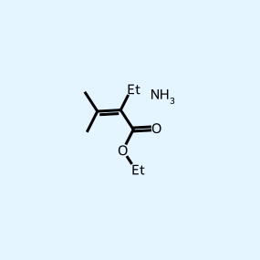 CCOC(=O)C(CC)=C(C)C.N